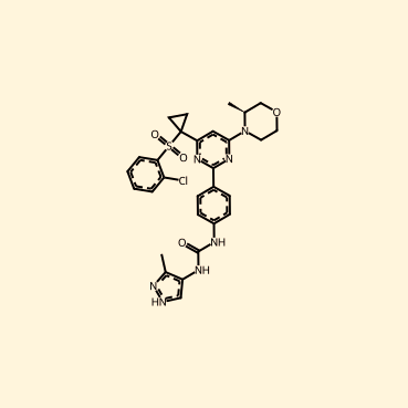 Cc1n[nH]cc1NC(=O)Nc1ccc(-c2nc(N3CCOC[C@@H]3C)cc(C3(S(=O)(=O)c4ccccc4Cl)CC3)n2)cc1